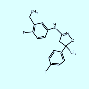 NCc1cc(NC2=NOC(c3ccc(F)cc3)(C(F)(F)F)C2)ccc1F